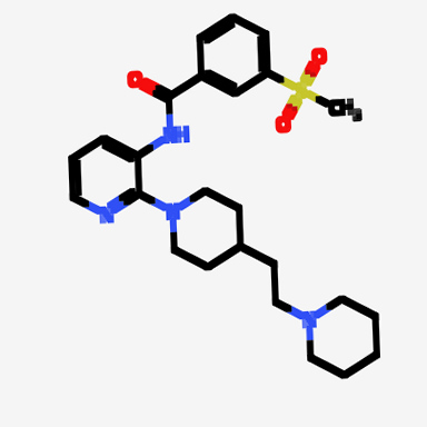 CS(=O)(=O)c1cccc(C(=O)Nc2cccnc2N2CCC(CCN3CCCCC3)CC2)c1